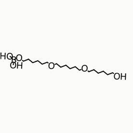 OCCCCCCOCCCCCCOCCCCCCOB(O)O